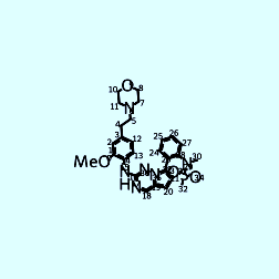 COc1cc(CCN2CCOCC2)ccc1Nc1ncc2ccc(-c3ccccc3N(C)S(C)(=O)=O)n2n1